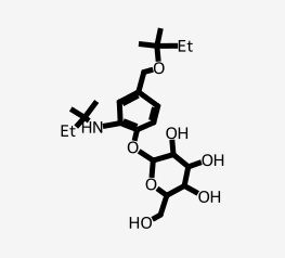 CCC(C)(C)Nc1cc(COC(C)(C)CC)ccc1OC1OC(CO)C(O)C(O)C1O